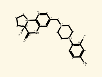 N#Cc1ccc(N2CCN(Cc3cnc4c(c3)NC(=O)[C@@H]3CCCN43)CC2)c(F)c1